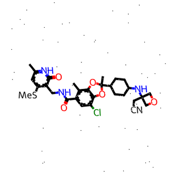 CSc1cc(C)[nH]c(=O)c1CNC(=O)c1cc(Cl)c2c(c1C)OC(C)(C1CCC(NC3(CC#N)COC3)CC1)O2